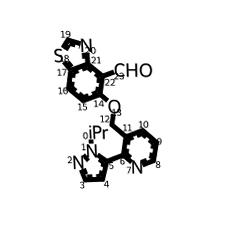 CC(C)n1nccc1-c1ncccc1COc1ccc2scnc2c1C=O